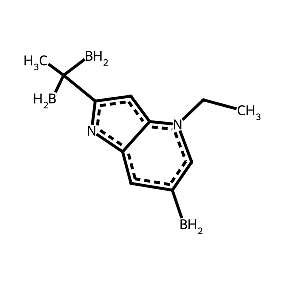 Bc1cc2nc(C(B)(B)C)cc-2n(CC)c1